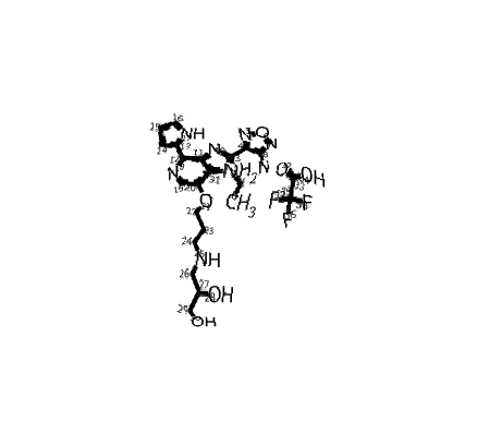 CCn1c(-c2nonc2N)nc2c(-c3ccc[nH]3)ncc(OCCCNCC(O)CO)c21.O=C(O)C(F)(F)F